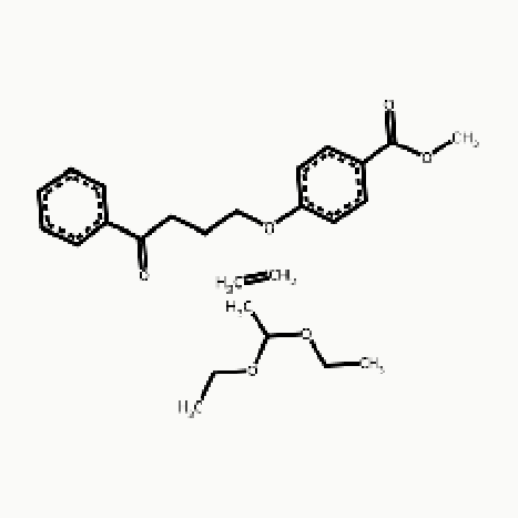 C=C.CCOC(C)OCC.COC(=O)c1ccc(OCCCC(=O)c2ccccc2)cc1